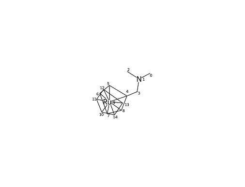 CN(C)C[C]12[CH]3[CH]4[CH]5[CH]1[Ru]45321678[CH]2[CH]1[CH]6[CH]7[CH]28